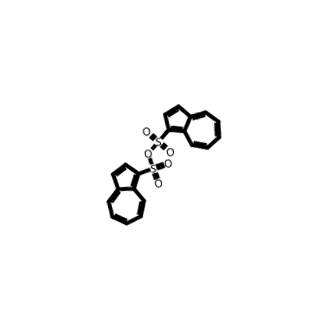 O=S(=O)(OS(=O)(=O)c1ccc2cccccc1-2)c1ccc2cccccc1-2